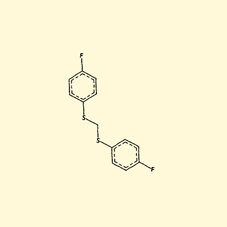 Fc1ccc(SCSc2ccc(F)cc2)cc1